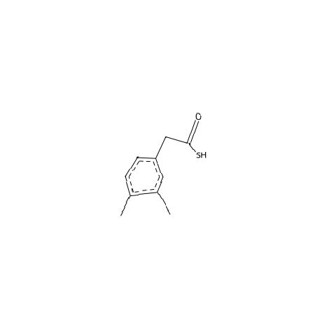 Cc1ccc(CC(=O)S)cc1C